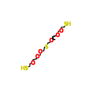 SCCOCCOCOCCSCCOCCOCOCCS